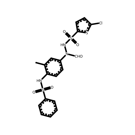 Cc1cc(N(C=O)NS(=O)(=O)c2ccc(Cl)s2)ccc1NS(=O)(=O)c1ccccc1